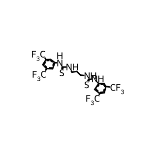 FC(F)(F)c1cc(NC(=S)NCCCNC(=S)Nc2cc(C(F)(F)F)cc(C(F)(F)F)c2)cc(C(F)(F)F)c1